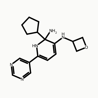 NC1(C2CCCC2)NC(c2cncnc2)=CC=C1NC1COC1